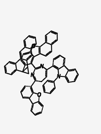 C1=C(c2cccc3c4ccccc4n(-c4ccccc4)c23)N=C(c2c(C34CC3c3cc5ccccc5cc3-c3ccccc34)ccc3oc4c5ccccc5ccc4c23)N=C(c2cccc3c2oc2ccccc23)C1